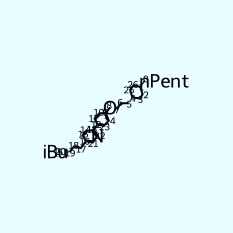 CCCCC[C@H]1CC[C@H](CCCOc2ccc(-c3ccc(CCC[C@@H](C)CC)cn3)cc2)CC1